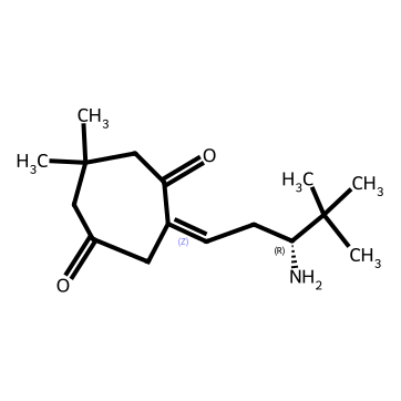 CC1(C)CC(=O)C/C(=C/C[C@@H](N)C(C)(C)C)C(=O)C1